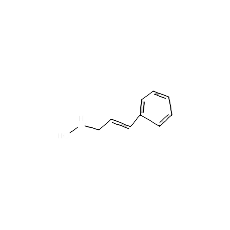 O[SiH2]CC=Cc1ccccc1